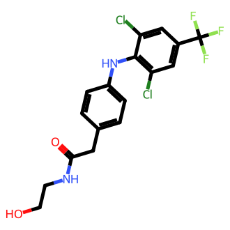 O=C(Cc1ccc(Nc2c(Cl)cc(C(F)(F)F)cc2Cl)cc1)NCCO